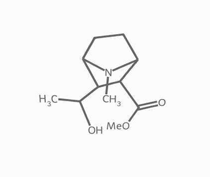 COC(=O)C1C(C(C)O)C2CCC1N2C